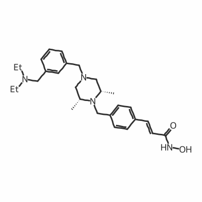 CCN(CC)Cc1cccc(CN2C[C@@H](C)N(Cc3ccc(C=CC(=O)NO)cc3)[C@@H](C)C2)c1